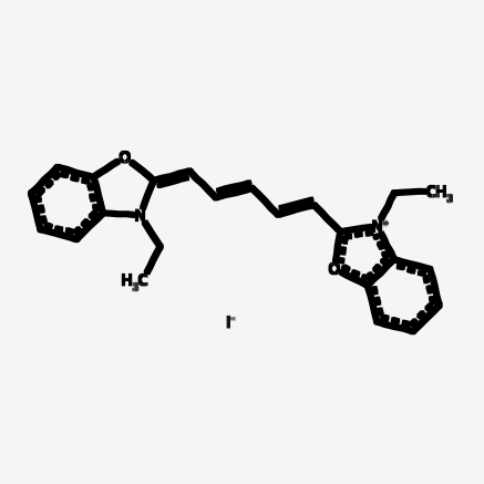 CCN1C(=CC=CC=Cc2oc3ccccc3[n+]2CC)Oc2ccccc21.[I-]